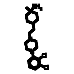 CC1(N)CCC(CCN2CCN(c3cccc(Cl)c3Cl)CC2)CC1